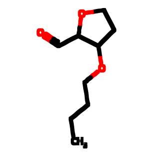 CCCCOC1CCOC1C=O